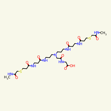 CNC(=O)CSCCC(=O)NCCC(=O)NCCCN(CCCNC(=O)CCNC(=O)CCSCC(=O)NC)CC(=O)NCC(=O)O